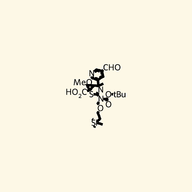 COc1ncc(C=O)cc1C1(C)N=C(N(COCC[Si](C)(C)C)C(=O)OC(C)(C)C)SC2(C(=O)O)CC21